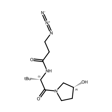 CC(C)(C)[C@H](NC(=O)CCN=[N+]=[N-])C(=O)N1CC[C@@H](O)C1